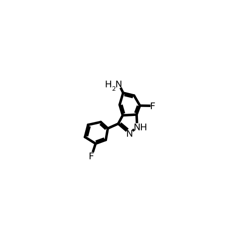 Nc1cc(F)c2[nH]nc(-c3cccc(F)c3)c2c1